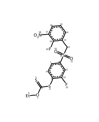 CCOC(=S)Sc1ccc(S(=O)(=O)Cc2cccc([N+](=O)[O-])c2F)cc1F